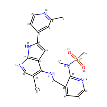 Cc1cc(-c2cc3c(NCc4cccnc4N(C)S(C)(=O)=O)c(C#N)cnc3[nH]2)ccn1